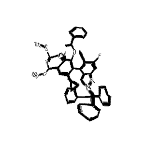 CCSc1nc(OC(C)(C)C)c2cc(C3CC3)c(-c3c(C)c(F)cc4nn(C(c5ccccc5)(c5ccccc5)c5ccccc5)cc34)c(OC(C)c3ccccc3)c2n1